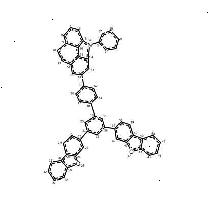 c1ccc(-n2c3cccc4ccc5cc(-c6ccc(-c7cc(-c8ccc9c(c8)oc8ccccc89)cc(-c8ccc9c(c8)oc8ccccc89)c7)cc6)cc2c5c43)cc1